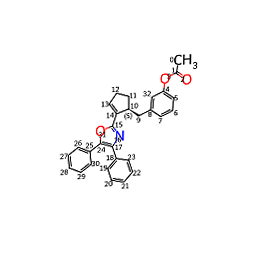 CC(=O)Oc1cccc(C[C@@H]2CCC=C2c2nc(-c3ccccc3)c(-c3ccccc3)o2)c1